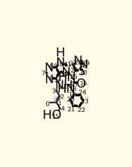 C/C(=C\CNc1ncnc2[nH]cnc12)CO.O=C(Nc1ccccc1)Nc1cnns1